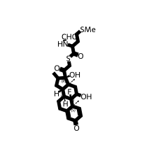 CSCCC(NC=O)C(=O)SCC(=O)[C@@]1(O)C(C)C[C@H]2[C@@H]3CCC4=CC(=O)C=C[C@]4(C)[C@@]3(F)C(O)C[C@@]21C